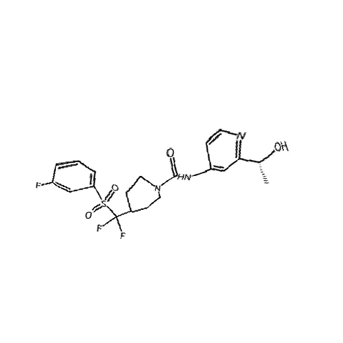 C[C@@H](O)c1cc(NC(=O)N2CCC(C(F)(F)S(=O)(=O)c3cccc(F)c3)CC2)ccn1